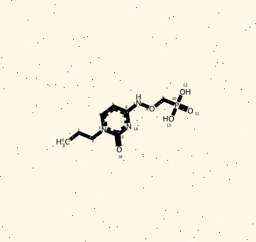 CCCn1ccc(NOCP(=O)(O)O)nc1=O